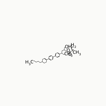 C=C(C)C(=O)OCC(CO)CC(CC)c1ccc(-c2ccc(C3=CCC(CCCCC)CC3)cc2)cc1